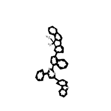 CC1(C)c2cc(-c3ccc(-c4nc(-c5ccccc5)cc(-c5ccc6oc7ccccc7c6c5)n4)c4ccccc34)ccc2-c2ccc3ccccc3c21